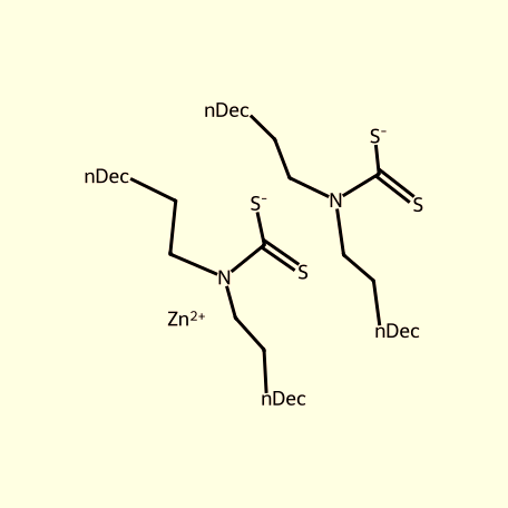 CCCCCCCCCCCCN(CCCCCCCCCCCC)C(=S)[S-].CCCCCCCCCCCCN(CCCCCCCCCCCC)C(=S)[S-].[Zn+2]